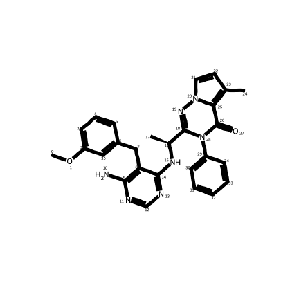 COc1cccc(Cc2c(N)ncnc2N[C@@H](C)c2nn3ccc(C)c3c(=O)n2-c2ccccc2)c1